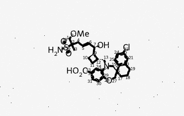 COCC(C)(C/C=C/[C@H](O)[C@@H]1CC[C@H]1CN1C[C@@]2(CCCc3cc(Cl)ccc32)COc2ccc(C(=O)O)cc21)S(N)(=O)=O